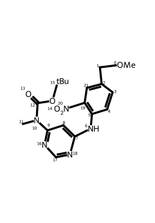 COCc1ccc(Nc2cc(N(C)C(=O)OC(C)(C)C)ncn2)c([N+](=O)[O-])c1